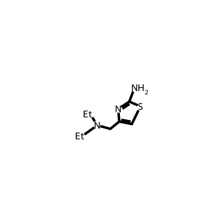 CCN(CC)Cc1csc(N)n1